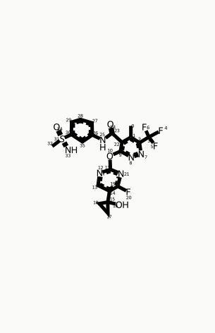 Cc1c(C(F)(F)F)nnc(Oc2ncc(C3(O)CC3)c(F)n2)c1C(=O)Nc1cccc(S(C)(=N)=O)c1